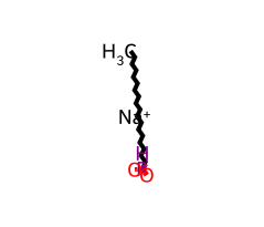 CCCCCCCCCCCCCCCCCC[PH](=O)[O-].[Na+]